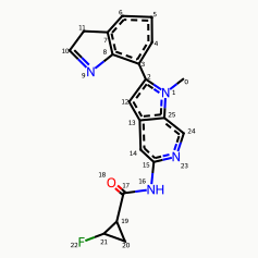 Cn1c(-c2cccc3c2N=CC3)cc2cc(NC(=O)C3CC3F)ncc21